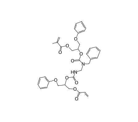 C=CC(=O)OCC(COc1ccccc1)OC(=O)NCN(Cc1ccccc1)C(=O)OC(COC(=O)C(=C)C)COc1ccccc1